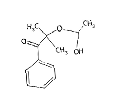 CC(O)OC(C)(C)C(=O)c1ccccc1